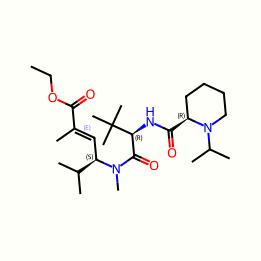 CCOC(=O)/C(C)=C/[C@H](C(C)C)N(C)C(=O)[C@H](NC(=O)[C@H]1CCCCN1C(C)C)C(C)(C)C